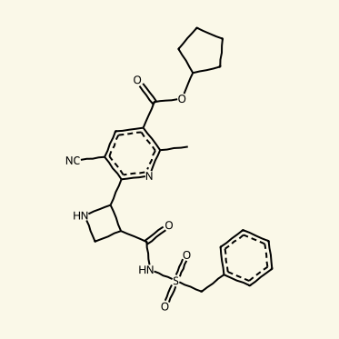 Cc1nc(C2NCC2C(=O)NS(=O)(=O)Cc2ccccc2)c(C#N)cc1C(=O)OC1CCCC1